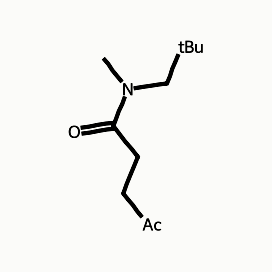 CC(=O)CCC(=O)N(C)CC(C)(C)C